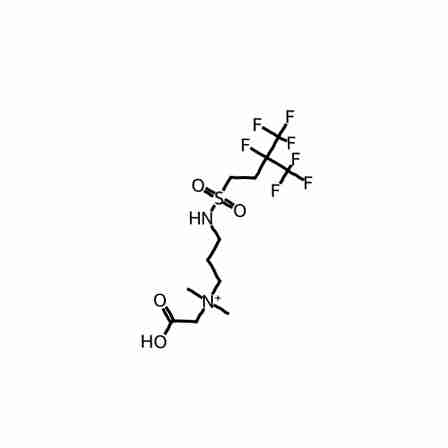 C[N+](C)(CCCNS(=O)(=O)CCC(F)(C(F)(F)F)C(F)(F)F)CC(=O)O